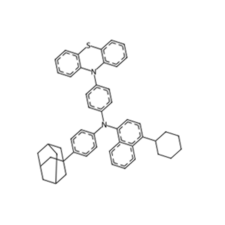 c1ccc2c(c1)Sc1ccccc1N2c1ccc(N(c2ccc(C34CC5CC(CC(C5)C3)C4)cc2)c2ccc(C3CCCCC3)c3ccccc23)cc1